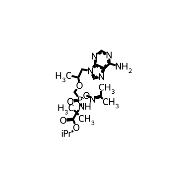 CC(C)=NOP(=O)(COC(C)Cn1cnc2c(N)ncnc21)NC(C)(C)C(=O)OC(C)C